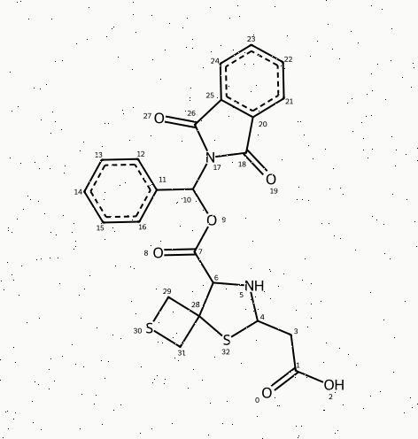 O=C(O)CC1NC(C(=O)OC(c2ccccc2)N2C(=O)c3ccccc3C2=O)C2(CSC2)S1